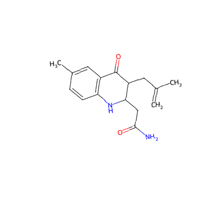 C=C(C)CC1C(=O)c2cc(C)ccc2NC1CC(N)=O